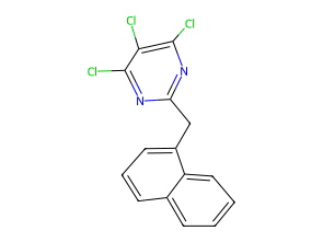 Clc1nc(Cc2cccc3ccccc23)nc(Cl)c1Cl